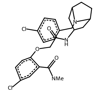 CNC(=O)c1cc(Cl)ccc1OCC(=O)NC1CC2CCC(C1)N2Cc1ccc(Cl)cc1